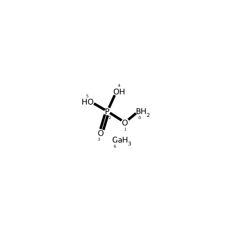 BOP(=O)(O)O.[GaH3]